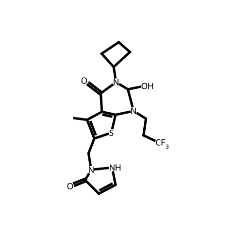 Cc1c(Cn2[nH]ccc2=O)sc2c1C(=O)N(C1CCC1)C(O)N2CCC(F)(F)F